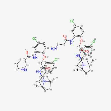 NCCC(=O)Nc1cc(Cl)ccc1OCC(=O)N[C@H]1C[C@H]2CC[C@@H](C1)N2Cc1ccc(Cl)cc1.O=C(COc1ccc(Cl)cc1NC(=O)C1CCCNC1)N[C@H]1C[C@H]2CC[C@@H](C1)N2Cc1ccc(Cl)cc1